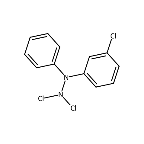 Clc1cccc(N(c2ccccc2)N(Cl)Cl)c1